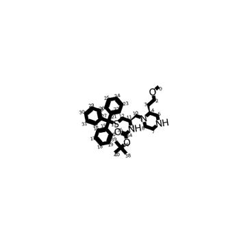 COCC[C@H]1CNCCN1C[C@H](CSC(c1ccccc1)(c1ccccc1)c1ccccc1)NC(=O)OC(C)(C)C